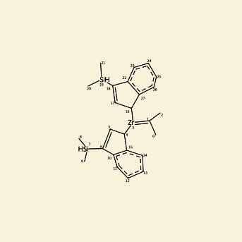 C[C](C)=[Zr]([CH]1C=C([SiH](C)C)c2ccccc21)[CH]1C=C([SiH](C)C)c2ccccc21